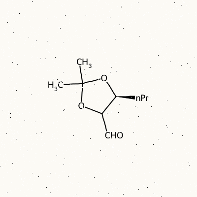 CCC[C@@H]1OC(C)(C)OC1C=O